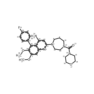 COc1cc2nc(N3CCCN(C(=O)N4CCOCC4)CC3)cc(N)c2c(-c2ccc(F)cc2)c1OC